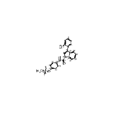 CCc1ccccc1-c1cn(C(=O)Nc2ccc(OC(C)(F)F)cc2)c2ccccc12